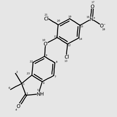 CC1(C)C(=O)Nc2ccc(Oc3c(Cl)cc([N+](=O)[O-])cc3Cl)cc21